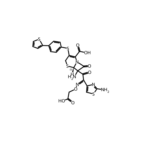 Nc1nc(C(=NOCC(=O)O)C(=O)C2(N)C(=O)N3C(C(=O)O)=C(Sc4ccc(-c5cccs5)cc4)CS[C@H]32)cs1